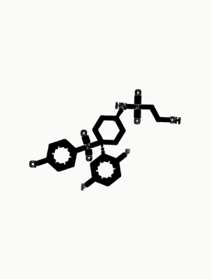 O=S(=O)(CCO)N[C@H]1CC[C@@](c2cc(F)ccc2F)(S(=O)(=O)c2ccc(Cl)cc2)CC1